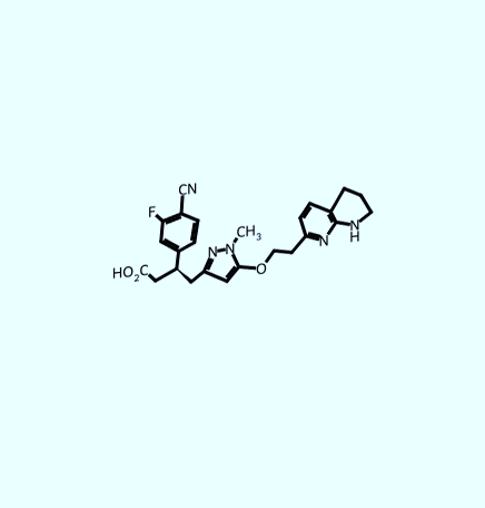 Cn1nc(C[C@@H](CC(=O)O)c2ccc(C#N)c(F)c2)cc1OCCc1ccc2c(n1)NCCC2